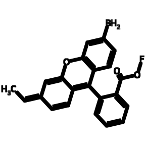 Bc1ccc2c(c1)Oc1cc(=CC)ccc1=C2c1ccccc1C(=O)OF